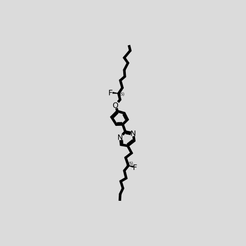 CCCCCCCC[C@H](F)COc1ccc(-c2ncc(CC[C@@H](F)CCCCCC)cn2)cc1